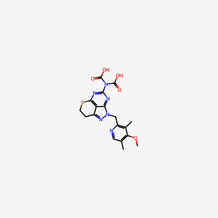 COc1c(C)cnc(Cn2nc3c4c(nc(N(C(=O)O)C(=O)O)nc42)SCC3)c1C